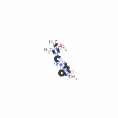 C[C@H](O)CN1[C@H](C)CN(c2ccc(Nc3ncc4cc5n(c4n3)C3(CCCCC3)CN(C)C5=O)nc2)C[C@@H]1C